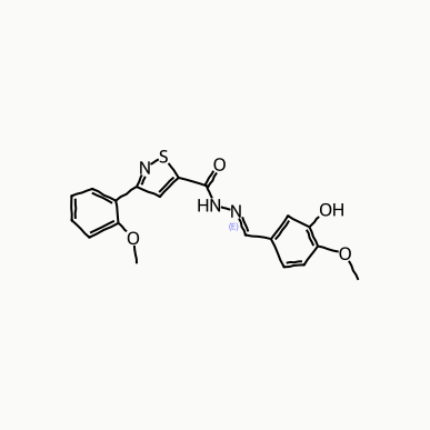 COc1ccc(/C=N/NC(=O)c2cc(-c3ccccc3OC)ns2)cc1O